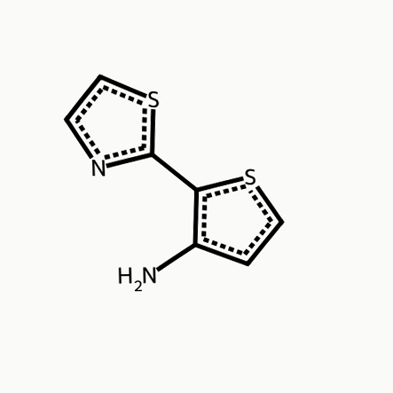 Nc1ccsc1-c1nccs1